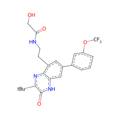 CC(C)(C)c1nc2c(CCNC(=O)CO)cc(-c3cccc(OC(F)(F)F)c3)cc2[nH]c1=O